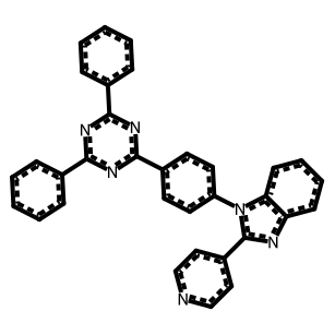 c1ccc(-c2nc(-c3ccccc3)nc(-c3ccc(-n4c(-c5ccncc5)nc5ccccc54)cc3)n2)cc1